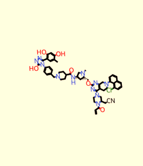 C=CC(=O)N1CCN(c2nc(OC[C@@H]3C[C@@H](NC(=O)C4CCN(Cc5ccc(-n6c(O)nnc6-c6cc(C)c(O)cc6O)cc5)CC4)CN3C)nc3c2CCN(c2cccc4cccc(Cl)c24)C3)CC1CC#N